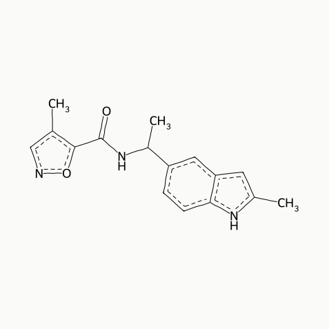 Cc1cc2cc(C(C)NC(=O)c3oncc3C)ccc2[nH]1